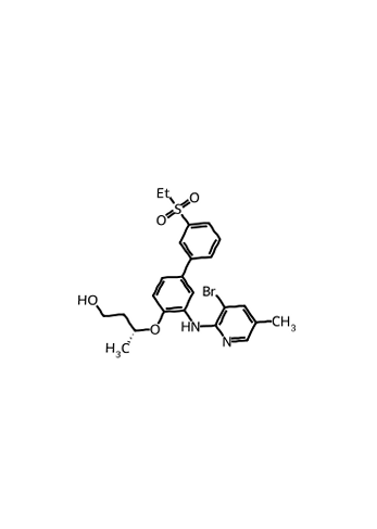 CCS(=O)(=O)c1cccc(-c2ccc(O[C@H](C)CCO)c(Nc3ncc(C)cc3Br)c2)c1